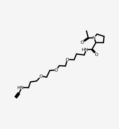 C#CNCCCOCCOCCOCCCNC(=O)C1CCCN1C(C)=O